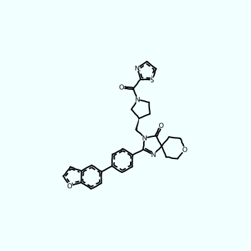 O=C(c1nccs1)N1CC[C@@H](CN2C(=O)C3(CCOCC3)N=C2c2ccc(-c3ccc4occc4c3)cc2)C1